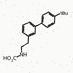 CC(C)(C)c1ccc(-c2cccc(CCNC(=O)O)c2)cc1